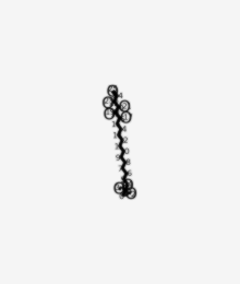 CS(=O)(=O)OCCCCCCCCCCCC(=O)C(=O)C(=O)C(=O)C=O